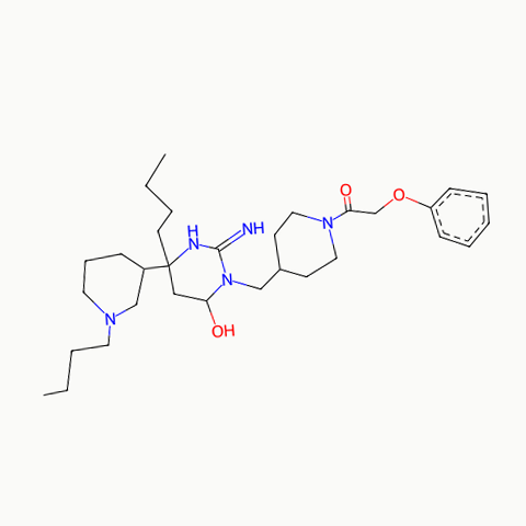 CCCCN1CCCC(C2(CCCC)CC(O)N(CC3CCN(C(=O)COc4ccccc4)CC3)C(=N)N2)C1